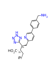 CC(C)C[C@H](C(=O)O)[C@H](Cc1ccc(-c2ccc(CN)cc2)cn1)c1nn[nH]n1